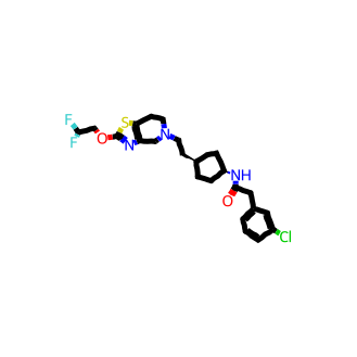 O=C(Cc1cccc(Cl)c1)N[C@H]1CC[C@H](CCN2CCc3sc(OCC(F)F)nc3C2)CC1